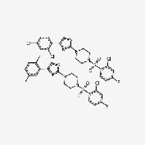 Cc1ccc(C)c(-c2csc(N3CCN(S(=O)(=O)c4ccc(F)cc4Cl)CC3)n2)c1.O=S(=O)(c1ccc(F)cc1Cl)N1CCN(c2nc(-c3ccc(Cl)cc3Cl)cs2)CC1